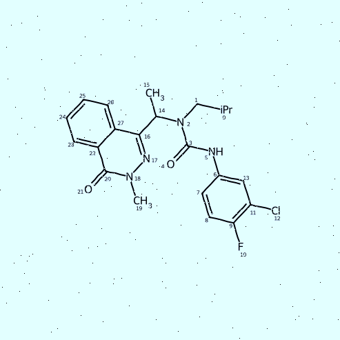 CC(C)CN(C(=O)Nc1ccc(F)c(Cl)c1)C(C)c1nn(C)c(=O)c2ccccc12